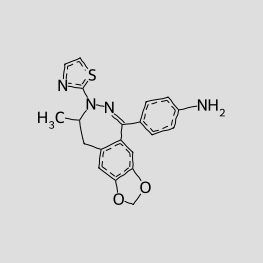 CC1Cc2cc3c(cc2C(c2ccc(N)cc2)=NN1c1nccs1)OCO3